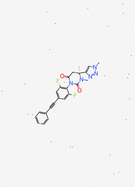 CN1C(=O)N(c2c(F)cc(C#Cc3ccccc3)cc2F)C(=O)C[C@@]1(C)c1cn(C)nn1